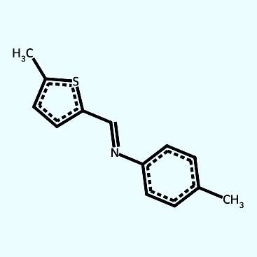 Cc1ccc(/N=C/c2ccc(C)s2)cc1